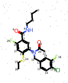 CCCCNC(=O)c1cc(N(Cc2ccc(Cl)c(F)c2)C(C)=O)c(SCC)cc1F